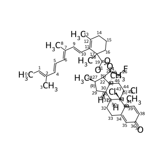 CC=C(C)C=CC=C(C)C=CC1=C(C)CCCC1(C)C(=O)O[C@@]1(C(=O)CF)[C@H](C)C[C@H]2[C@@H]3CCC4=CC(=O)C=C[C@]4(C)[C@@]3(Cl)[C@@H](Cl)C[C@@]21C